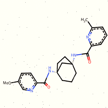 COc1ccc(C(=O)N[C@]23CCC[C@](NC(=O)c4cccc(C)n4)(CC2)C3)nc1